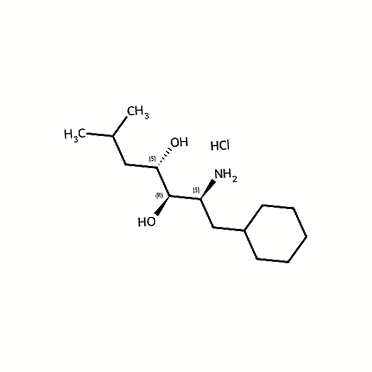 CC(C)C[C@H](O)[C@H](O)[C@@H](N)CC1CCCCC1.Cl